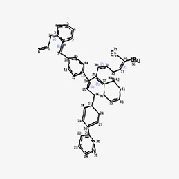 C=C/C=c1/cccc/c1=C\c1ccc(C(=C/CC2C=CC(c3cccnc3)=CC2)/C(/C=C\C/C=C(\CC)C(C)(C)C)=C2\CC=CCC2=C)cc1